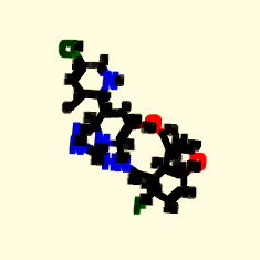 Cc1cc(Cl)cnc1-c1cc2c(n3cnnc13)NCc1c(F)ccc3c1[C@@H](CO3)CO2